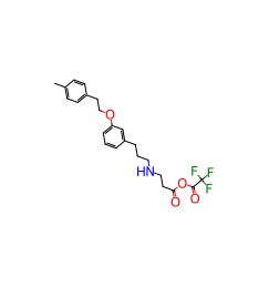 Cc1ccc(CCOc2cccc(CCCNCCC(=O)OC(=O)C(F)(F)F)c2)cc1